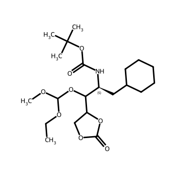 CCOC(OC)OC(C1COC(=O)O1)[C@H](CC1CCCCC1)NC(=O)OC(C)(C)C